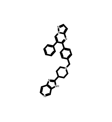 c1ccc(-c2cn3nccc3nc2-c2ccc(CN3CCC(c4nc5ccncc5[nH]4)CC3)cc2)cc1